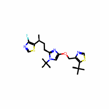 CC(CCc1nc(OCc2ncsc2C(C)(C)C)cn1C(C)(C)C)c1scnc1F